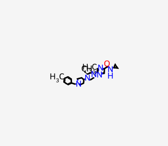 CC[C@H]1CN(c2ncc(C(=O)NC3CC3)nc2C)CCN1C1CCN(Cc2ccc(C)cc2)CC1